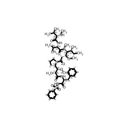 CC[C@H](C)[C@@H]([C@@H](CC(=O)N1CCC[C@H]1[C@H](OC)[C@@H](C)C(=O)N[C@@H](Cc1ccccc1)C(=O)NS(=O)(=O)c1ccccc1)OC)N(C)C(=O)[C@@H](NC(=O)[C@@H](NC)C(C)C)C(C)C